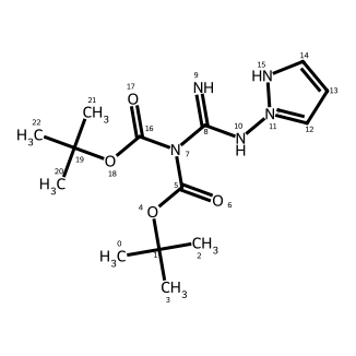 CC(C)(C)OC(=O)N(C(=N)N[n+]1ccc[nH]1)C(=O)OC(C)(C)C